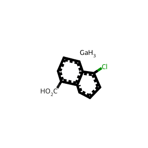 O=C(O)c1cccc2c(Cl)cccc12.[GaH3]